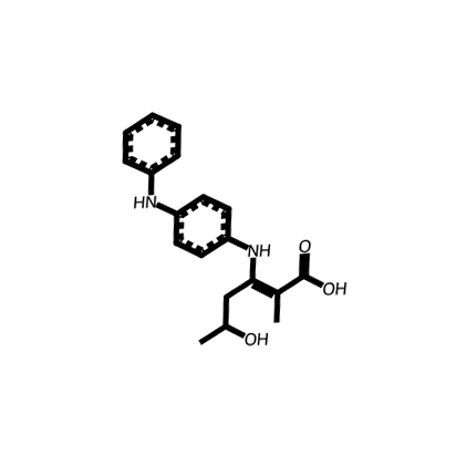 CC(C(=O)O)=C(CC(C)O)Nc1ccc(Nc2ccccc2)cc1